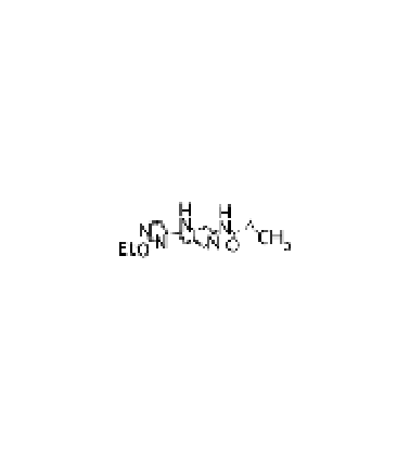 CCOc1nccc(-c2cc3cnc(NC(=O)[C@@H]4C[C@H]4C)cc3[nH]2)n1